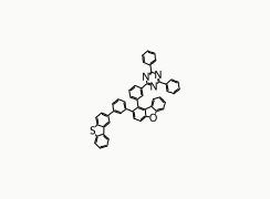 c1ccc(-c2nc(-c3ccccc3)nc(-c3cccc(-c4c(-c5cccc(-c6ccc7sc8ccccc8c7c6)c5)ccc5oc6ccccc6c45)c3)n2)cc1